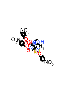 CC(=NC(=O)OCc1ccc([N+](=O)[O-])cc1)[C@@]1(S)CN(C(=O)OCc2ccc([N+](=O)[O-])cc2)[C@@](COC(=O)OCc2ccc([N+](=O)[O-])cc2)(C(=O)N2CCNCC2)C1